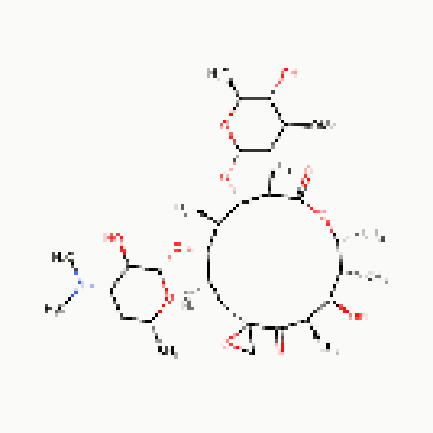 CO[C@H]1C[C@H](O[C@H]2[C@H](C)[C@@H](O[C@@H]3O[C@H](C)C[C@H](N(C)C)[C@H]3O)[C@@H](C)C[C@@]3(CO3)C(=O)[C@H](C)[C@H](O)[C@@H](C)[C@@H](C)OC(=O)[C@@H]2C)O[C@@H](C)[C@@H]1O